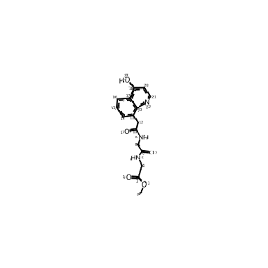 COC(=O)CNC(=O)CNC(=O)Cc1cccc2c(O)ccnc12